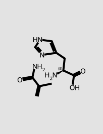 C=C(C)C(N)=O.N[C@@H](Cc1c[nH]cn1)C(=O)O